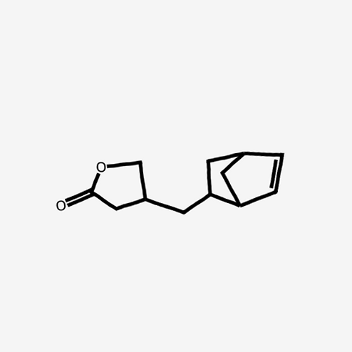 O=C1CC(CC2CC3C=CC2C3)CO1